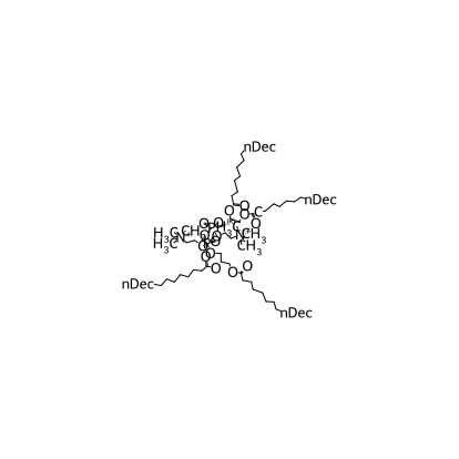 CCCCCCCCCCCCCCCCCC(=O)OCC(COP(=O)(OCC[N+](C)(C)C)OP(=O)(OCC[N+](C)(C)C)OC[C@@H](COC(=O)CCCCCCCCCCCCCCCCC)OC(=O)CCCCCCCCCCCCCCCCC)OC(=O)CCCCCCCCCCCCCCCCC